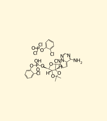 CC1(C)O[C@H]2[C@@H](O1)[C@](C#N)(c1ccc3c(N)ncnn13)O[C@@H]2COP(=O)(O)Oc1ccccc1Cl.O=P(Cl)(Cl)Oc1ccccc1Cl